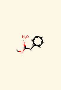 COC(=O)Cc1ccccc1.O